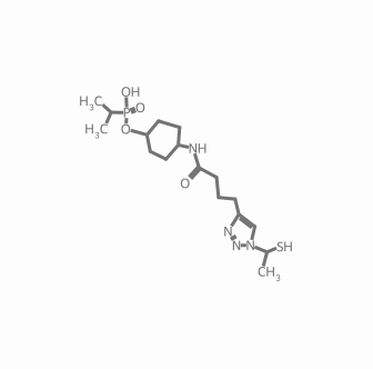 CC(S)n1cc(CCCC(=O)NC2CCC(OP(=O)(O)C(C)C)CC2)nn1